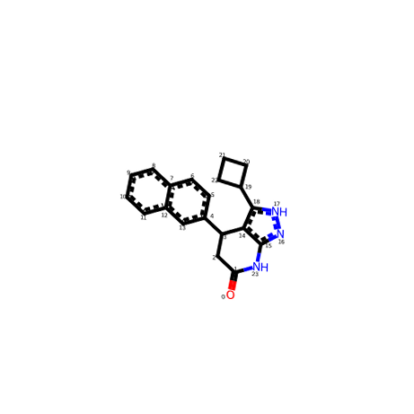 O=C1CC(c2ccc3ccccc3c2)c2c(n[nH]c2C2CCC2)N1